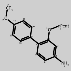 CCCCCOc1cc(N)ccc1-c1ccc(OC(F)(F)F)cc1